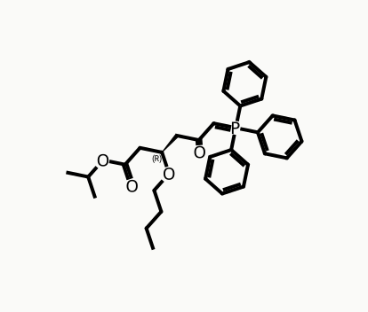 CCCCO[C@H](CC(=O)C=P(c1ccccc1)(c1ccccc1)c1ccccc1)CC(=O)OC(C)C